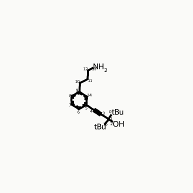 CC(C)(C)C(O)(C#Cc1cccc(CCCN)c1)C(C)(C)C